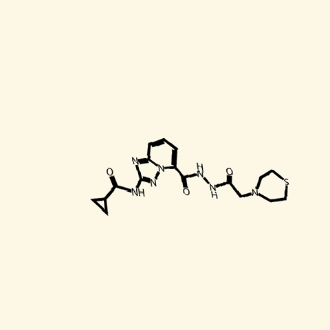 O=C(CN1CCSCC1)NNC(=O)c1cccc2nc(NC(=O)C3CC3)nn12